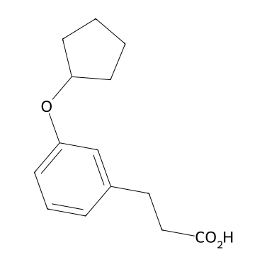 O=C(O)CCc1cccc(OC2CCCC2)c1